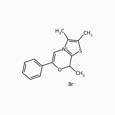 Cc1sc2[n+](c1C)C=C(c1ccccc1)OC2C.[Br-]